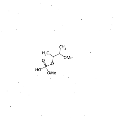 COC(C)C(C)OP(=O)(O)OC